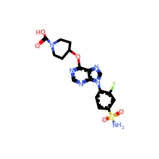 NS(=O)(=O)c1ccc(-n2cnc3c(OC4CCN(C(=O)O)CC4)ncnc32)c(F)c1